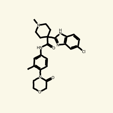 Cc1cc(NC(=O)C2(c3nc4cc(Cl)ccc4[nH]3)CCN(C)CC2)ccc1N1CCOCC1=O